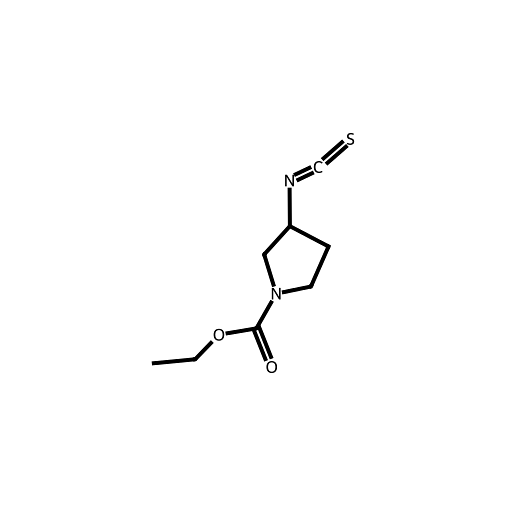 CCOC(=O)N1CCC(N=C=S)C1